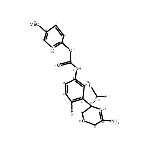 COc1ccc(OC(=O)Nc2ccc(F)c([C@]3(C(F)F)COCC(N)=N3)c2)nc1